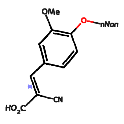 CCCCCCCCCOc1ccc(/C=C(\C#N)C(=O)O)cc1OC